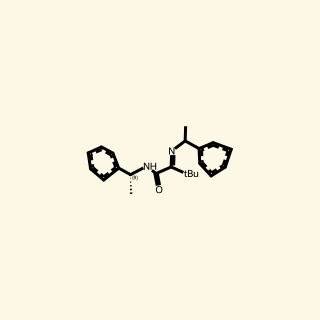 CC(N=C(C(=O)N[C@H](C)c1ccccc1)C(C)(C)C)c1ccccc1